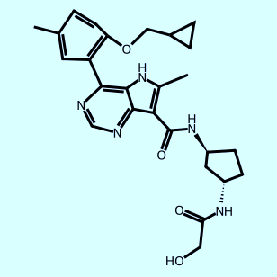 Cc1ccc(OCC2CC2)c(-c2ncnc3c(C(=O)N[C@H]4CC[C@H](NC(=O)CO)C4)c(C)[nH]c23)c1